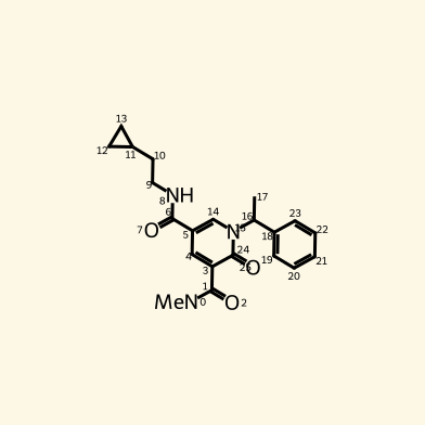 CNC(=O)c1cc(C(=O)NCCC2CC2)cn(C(C)c2ccccc2)c1=O